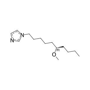 CCCC[C@H](CCCCCn1ccnc1)OC